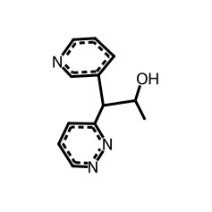 CC(O)C(c1cccnc1)c1cccnn1